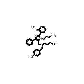 CCCCN(Cc1ccc(O)cc1)Cc1c(-c2ccccc2)nc(-c2ccccc2OC)n1CCCC